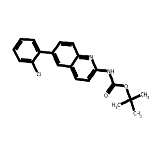 CC(C)(C)OC(=O)Nc1ccc2cc(-c3ccccc3Cl)ccc2n1